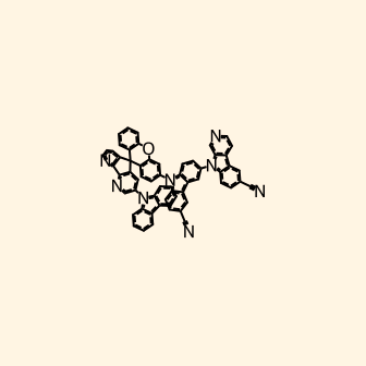 N#Cc1ccc2c(c1)c1cc(-n3c4ccc(C#N)cc4c4ccncc43)ccc1n2-c1ccc2c(c1)Oc1ccccc1C21c2cccnc2-c2ncc(-n3c4ccccc4c4ccccc43)cc21